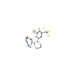 Cc1c(C(F)(F)F)cc(N2CCCC2c2ccccn2)nc1Cl